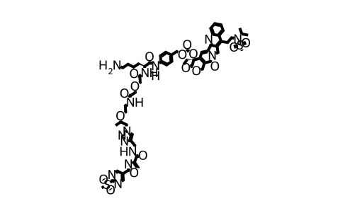 CC[C@@]1(OC(=O)OCc2ccc(NC(=O)[C@H](CCCCN)NC(=O)COCC(=O)NCCOC(C)Cn3cc(CNC(=O)c4coc(-c5cnc(S(C)(=O)=O)nc5)n4)nn3)cc2)C(=O)OCc2c1cc1n(c2=O)Cc2c-1nc1ccccc1c2CCN(C(C)C)S(C)(=O)=O